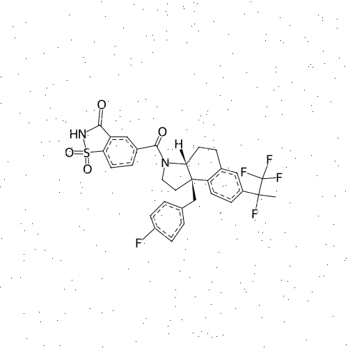 CC(F)(c1ccc2c(c1)CC[C@H]1N(C(=O)c3ccc4c(c3)C(=O)NS4(=O)=O)CC[C@@]21Cc1ccc(F)cc1)C(F)(F)F